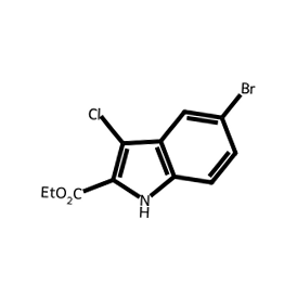 CCOC(=O)c1[nH]c2ccc(Br)cc2c1Cl